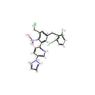 O=[N+]([O-])c1c(CBr)[c]c(Cc2c(F)cccc2F)cc1-c1ccc(-n2nccn2)cn1